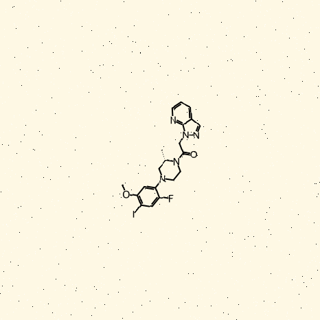 COc1cc(N2CCN(C(=O)Cn3ncc4cccnc43)[C@@H](C)C2)c(F)cc1I